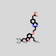 CCCc1c(OCCc2ncc3cc(CC(=O)O)ccc3n2)ccc2c(CC(C)(C)C)coc12